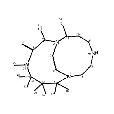 CC1C(Cl)N2CCN(CCNCCC2Cl)C(C)(C)C(C)(C)C(C)(C)N1C